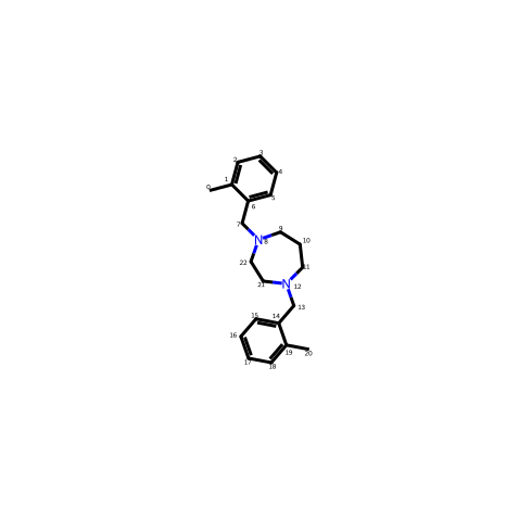 Cc1ccccc1CN1CCCN(Cc2ccccc2C)CC1